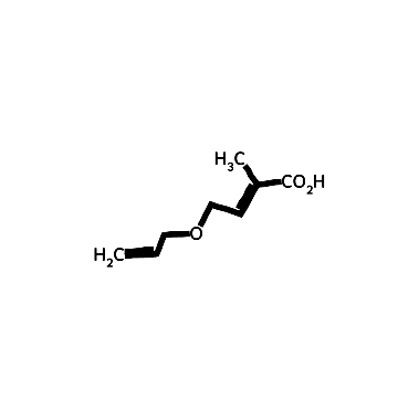 C=CCOCC=C(C)C(=O)O